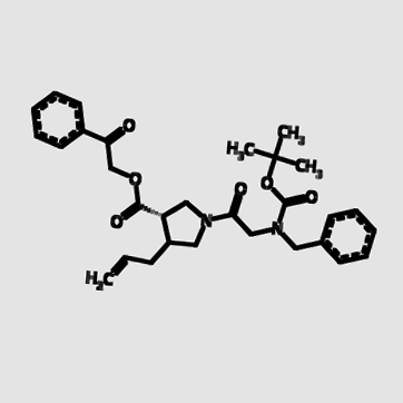 C=CCC1CN(C(=O)CN(Cc2ccccc2)C(=O)OC(C)(C)C)C[C@H]1C(=O)OCC(=O)c1ccccc1